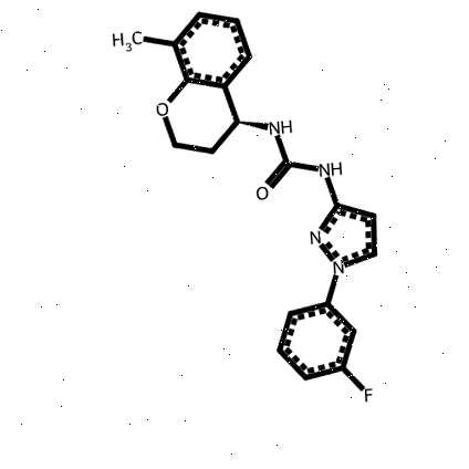 Cc1cccc2c1OCC[C@@H]2NC(=O)Nc1ccn(-c2cccc(F)c2)n1